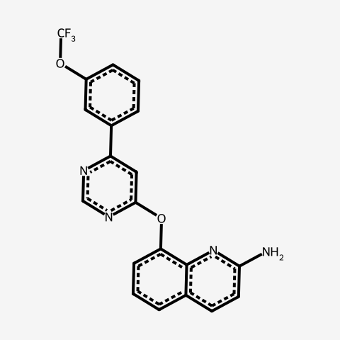 Nc1ccc2cccc(Oc3cc(-c4cccc(OC(F)(F)F)c4)ncn3)c2n1